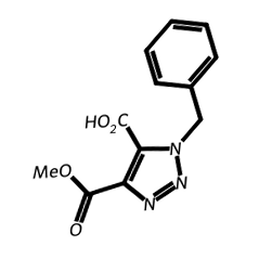 COC(=O)c1nnn(Cc2ccccc2)c1C(=O)O